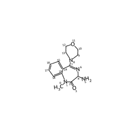 CN1C(=O)C(N)N=C(N2CCOCC2)c2ccccc21